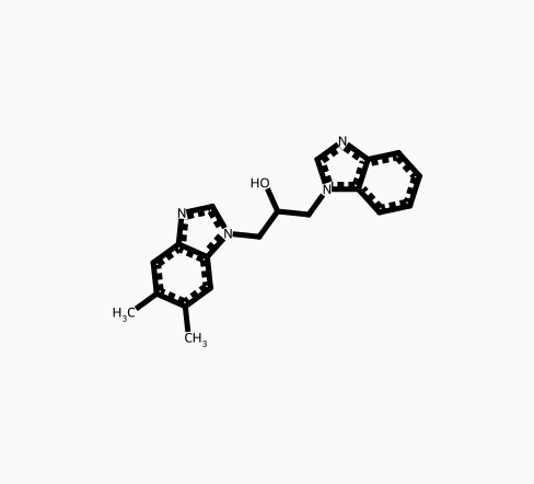 Cc1cc2ncn(CC(O)Cn3cnc4ccccc43)c2cc1C